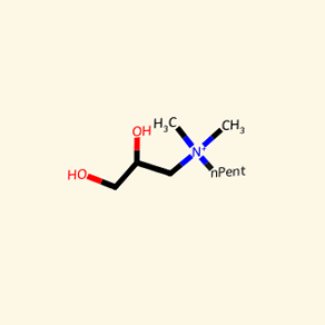 CCCCC[N+](C)(C)CC(O)CO